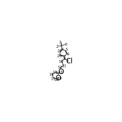 CC(C)(C)c1ccc(C(Cl)CCCOC2CCCCO2)cc1